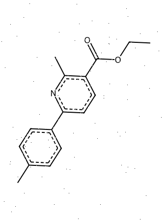 CCOC(=O)c1ccc(-c2ccc(C)cc2)nc1C